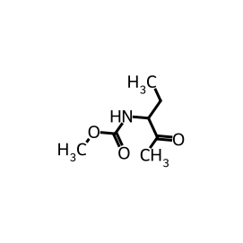 CCC(NC(=O)OC)C(C)=O